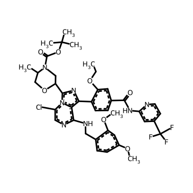 CCOc1cc(C(=O)Nc2cc(C(F)(F)F)ccn2)ccc1-c1nc(C2CN(C(=O)OC(C)(C)C)C(C)CO2)n2c(Cl)cnc(NCc3ccc(OC)cc3OC)c12